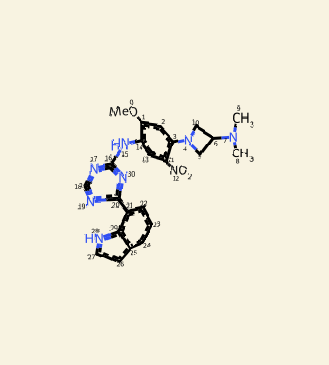 COc1cc(N2CC(N(C)C)C2)c([N+](=O)[O-])cc1Nc1ncnc(-c2cccc3cc[nH]c23)n1